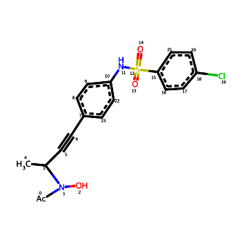 CC(=O)N(O)C(C)C#Cc1ccc(NS(=O)(=O)c2ccc(Cl)cc2)cc1